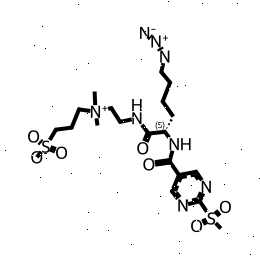 C[N+](C)(CCCS(=O)(=O)[O-])CCNC(=O)[C@H](CCCCN=[N+]=[N-])NC(=O)c1cnc(S(C)(=O)=O)nc1